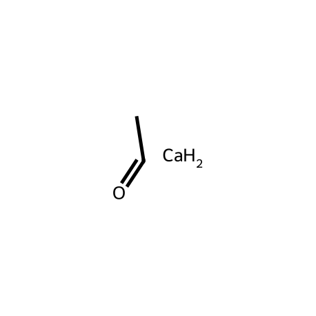 CC=O.[CaH2]